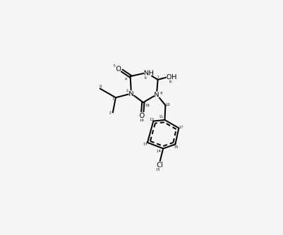 CC(C)N1C(=O)NC(O)N(Cc2ccc(Cl)cc2)C1=O